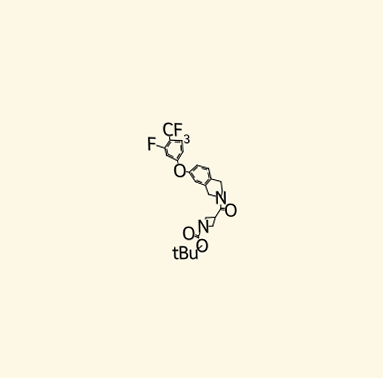 CC(C)(C)OC(=O)N1CC(C(=O)N2CCc3ccc(Oc4ccc(C(F)(F)F)c(F)c4)cc3C2)C1